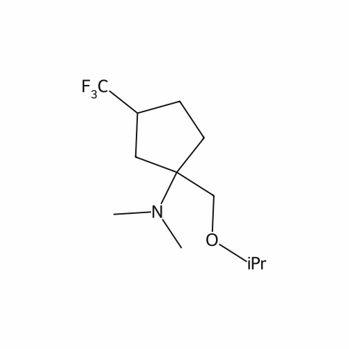 CC(C)OCC1(N(C)C)CCC(C(F)(F)F)C1